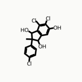 CC1(c2ccc(Cl)cc2)C(O)c2cc(O)c(Cl)c(Cl)c2C1O